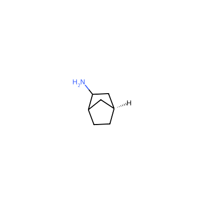 NC1C[C@H]2CCC1C2